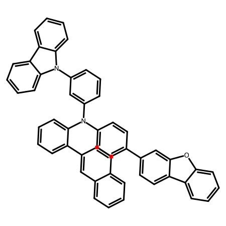 c1cc(N(c2ccc(-c3ccc4c(c3)oc3ccccc34)cc2)c2ccccc2-c2ccc3ccccc3c2)cc(-n2c3ccccc3c3ccccc32)c1